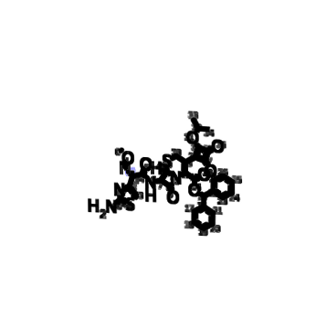 CO/N=C(\C(=O)NC1C(=O)N2C(C(=O)OC(c3ccccc3)c3ccccc3)=C(c3c(OC(C)C)c(=O)c3=O)CS[C@@H]12)c1csc(N)n1